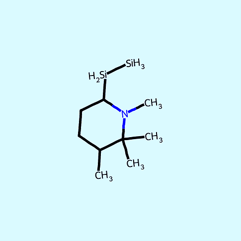 CC1CCC([SiH2][SiH3])N(C)C1(C)C